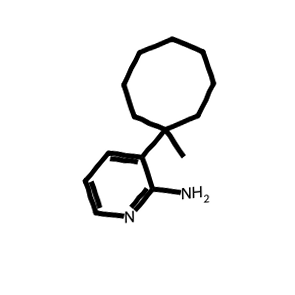 CC1(c2cccnc2N)CCCCCCC1